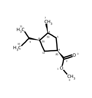 COC(=O)[C@@H]1C[C@H](C)[C@H](C(C)C)C1